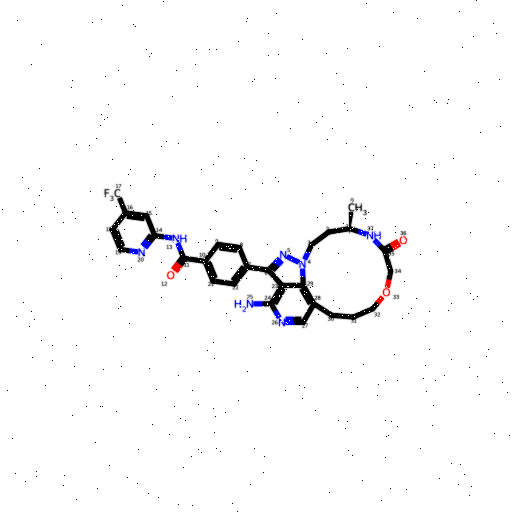 C[C@@H]1CCn2nc(-c3ccc(C(=O)Nc4cc(C(F)(F)F)ccn4)cc3)c3c(N)ncc(c32)CCCOCC(=O)N1